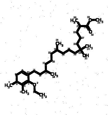 CCOC1=C(C)C(C)CC=C1CCC(C)CCCC(C)CCCC(C)(O)CCCC(C)C(=O)OC